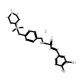 C[N+](C)(Cc1ccc(CNC(=O)C=Cc2ccc(Cl)c(Cl)c2)cc1)C1CCOCC1.[I-]